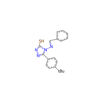 CC(C)(C)c1ccc(-c2nnc(S)n2N=Cc2ccccc2)cc1